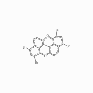 Brc1cc(Br)c2oc3ccc4c(Br)cc(Br)c5oc6ccc1c2c6-c3c45